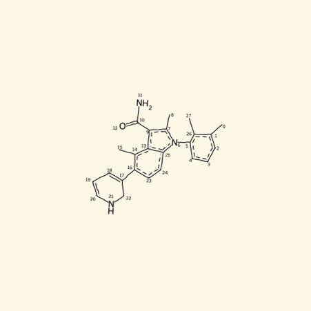 Cc1cccc(-n2c(C)c(C(N)=O)c3c(C)c(C4=CC=CNC4)ccc32)c1C